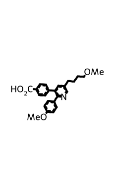 COCCCCc1cnc(-c2ccc(OC)cc2)c(-c2ccc(C(=O)O)cc2)c1